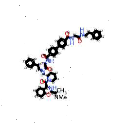 CN[C@@H](C)C(=O)N[C@H](C(=O)N1CCCC[C@H]1CN(CCc1ccccc1)C(=O)CNC(=O)c1ccc(-c2ccc(C(=O)NCC(=O)NCCc3ccccc3)cc2)cc1)C1CCCCC1